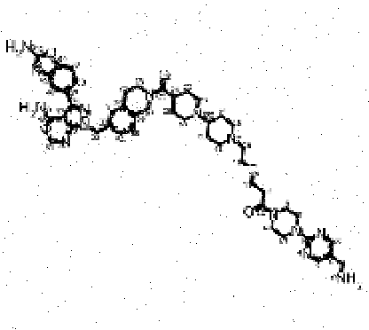 NCc1cnc(N2CCN(C(=O)CCOCCN3CCC(N4CCC(C(=O)N5CCc6cc(Cn7nc(-c8ccc9oc(N)nc9c8)c8c(N)ncnc87)ccc6C5)CC4)CC3)CC2)nc1